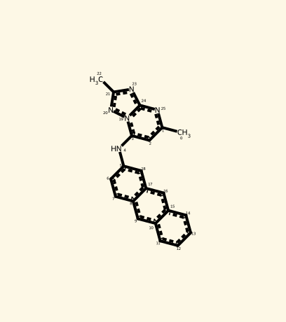 Cc1cc(Nc2ccc3cc4ccccc4cc3c2)n2nc(C)nc2n1